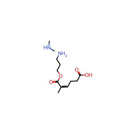 CC(=CCCC(=O)O)C(=O)OCCCN.CNC